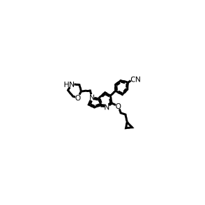 N#Cc1ccc(-c2cc3c(ccn3CC3CNCCO3)nc2OCCC2CC2)cc1